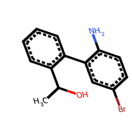 CC(O)c1ccccc1-c1cc(Br)ccc1N